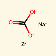 O=C([O-])O.[Na+].[Zr]